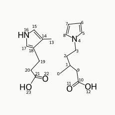 CC(CCn1cccc1)CC(=O)O.Cc1c[nH]cc1CCC(=O)O